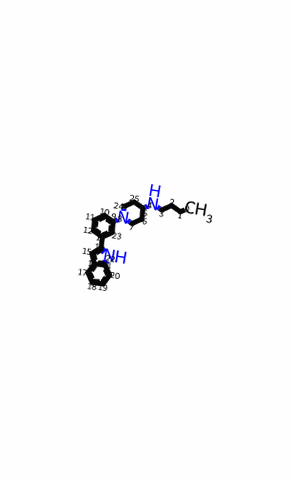 CCCCNC1CCN(c2cccc(-c3cc4ccccc4[nH]3)c2)CC1